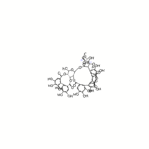 C/C=C(O)\C(O)=C(\O)C1C(=O)OCC2OC(O)C3OC(=O)c4cc(O)c(O)c(O)c4-c4c(cc(O)c(O)c4O)C(=O)OC3C2OC(=O)c2cc(O)c(O)c(O)c2-c2c(O)c(O)c3oc(=O)c4c1c(O)c(O)c1oc(=O)c2c3c14